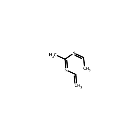 C=C/N=C(C)\N=C/C